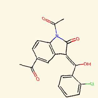 CC(=O)c1ccc2c(c1)C(=C(O)c1ccccc1Cl)C(=O)N2C(C)=O